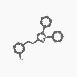 Oc1cccc(CCc2cc(-c3ccccc3)n(-c3ccccc3)n2)c1